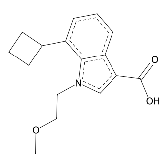 COCCn1cc(C(=O)O)c2cccc(C3CCC3)c21